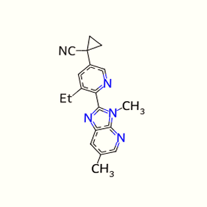 CCc1cc(C2(C#N)CC2)cnc1-c1nc2cc(C)cnc2n1C